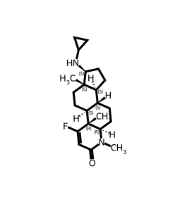 CN1C(=O)C=C(F)[C@]2(C)[C@H]3CC[C@]4(C)[C@@H](NC5CC5)CC[C@H]4[C@@H]3CC[C@@H]12